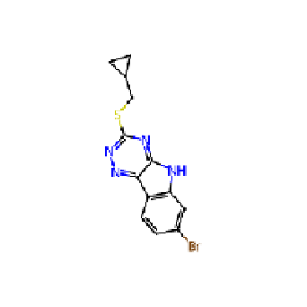 Brc1ccc2c(c1)[nH]c1nc(SCC3CC3)nnc12